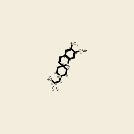 COc1cc2c(cc1[N+](=O)[O-])C=CC1(CCN(C[C@H](C)O)CC1)O2